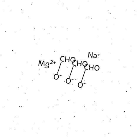 O=C[O-].O=C[O-].O=C[O-].[Mg+2].[Na+]